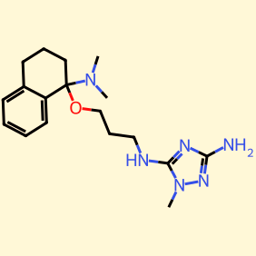 CN(C)C1(OCCCNc2nc(N)nn2C)CCCc2ccccc21